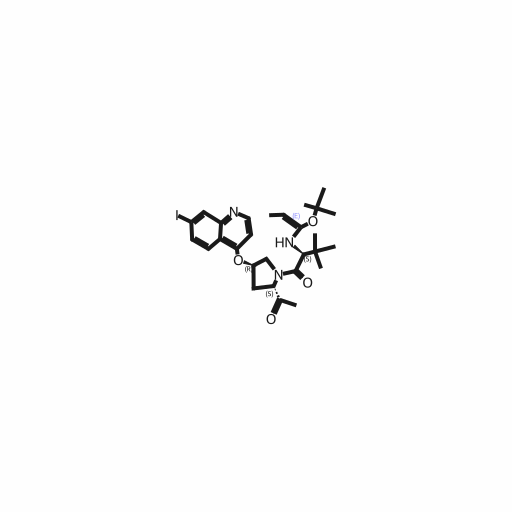 C/C=C(\N[C@H](C(=O)N1C[C@H](Oc2ccnc3cc(I)ccc23)C[C@H]1C(C)=O)C(C)(C)C)OC(C)(C)C